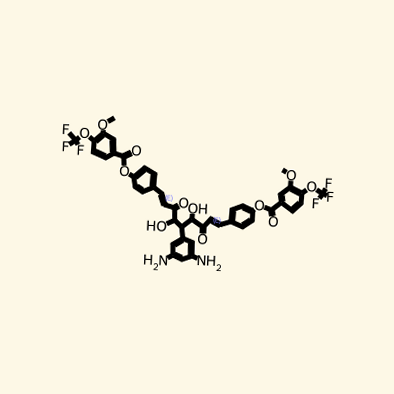 COc1cc(C(=O)Oc2ccc(/C=C/C(=O)C(O)C(c3cc(N)cc(N)c3)C(O)C(=O)/C=C/c3ccc(OC(=O)c4ccc(OC(F)(F)F)c(OC)c4)cc3)cc2)ccc1OC(F)(F)F